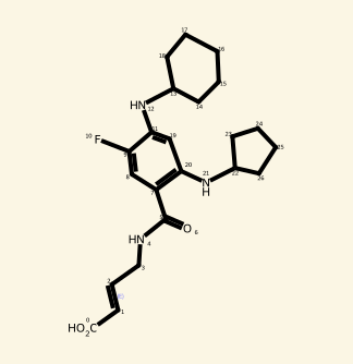 O=C(O)/C=C/CNC(=O)c1cc(F)c(NC2CCCCC2)cc1NC1CCCC1